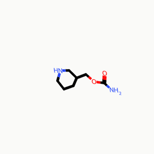 NC(=O)OCC1CCCNC1